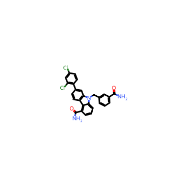 NC(=O)c1cccc(Cn2c3cc(-c4ccc(Cl)cc4Cl)c[c]c3c3c(C(N)=O)cccc32)c1